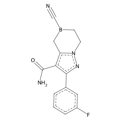 N#CB1CCn2nc(-c3cccc(F)c3)c(C(N)=O)c2C1